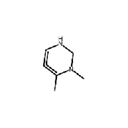 CC1=C=CNCN1C